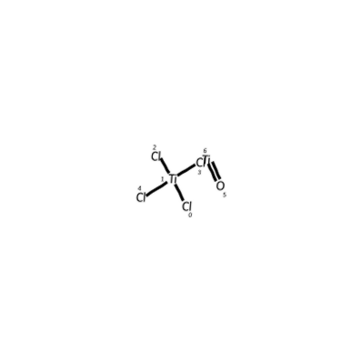 [Cl][Ti]([Cl])([Cl])[Cl].[O]=[Ti]